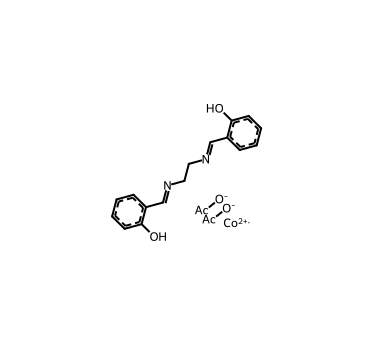 CC(=O)[O-].CC(=O)[O-].Oc1ccccc1C=NCCN=Cc1ccccc1O.[Co+2]